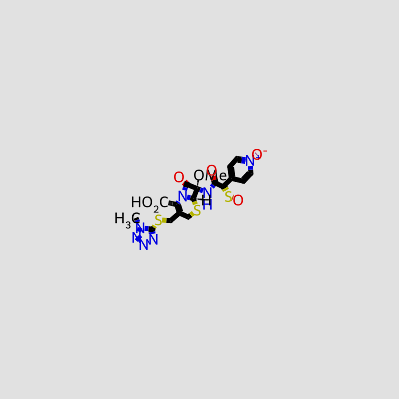 CO[C@@]1(NC(=O)C(=S=O)c2cc[n+]([O-])cc2)C(=O)N2C(C(=O)O)=C(CSc3nnnn3C)CS[C@@H]21